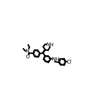 CCN(CC)C(=O)c1ccc(C(=C2CCNCC2)c2cccc(NCc3ccc(Cl)cc3)c2)cc1